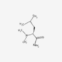 CC(C)C[C@@H](C(N)=O)N(C)C